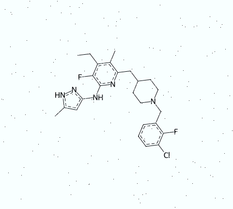 CCc1c(C)c(CC2CCN(Cc3cccc(Cl)c3F)CC2)nc(Nc2cc(C)[nH]n2)c1F